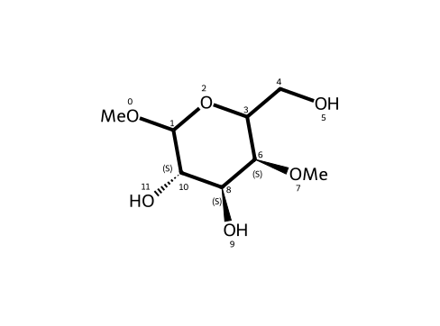 COC1OC(CO)[C@@H](OC)[C@@H](O)[C@@H]1O